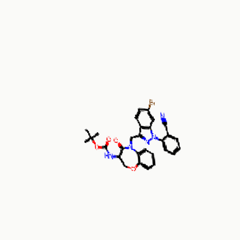 CC(C)(C)OC(=O)NC1COc2ccccc2N(Cc2nn(-c3ccccc3C#N)c3cc(Br)ccc23)C1=O